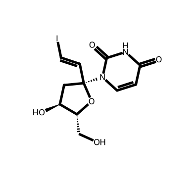 O=c1ccn([C@@]2(C=CI)C[C@H](O)[C@@H](CO)O2)c(=O)[nH]1